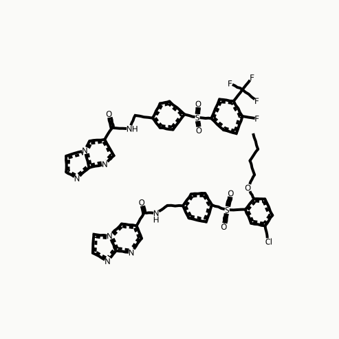 CCCCOc1ccc(Cl)cc1S(=O)(=O)c1ccc(CNC(=O)c2cnc3nccn3c2)cc1.O=C(NCc1ccc(S(=O)(=O)c2ccc(F)c(C(F)(F)F)c2)cc1)c1cnc2nccn2c1